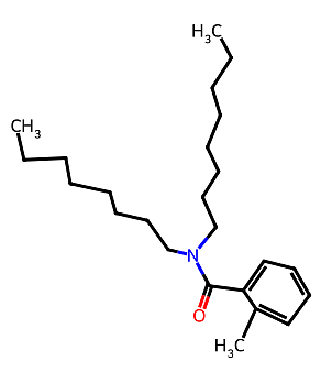 CCCCCCCCN(CCCCCCCC)C(=O)c1ccccc1C